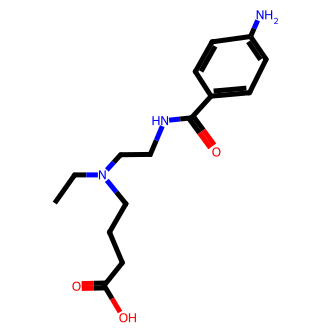 CCN(CCCC(=O)O)CCNC(=O)c1ccc(N)cc1